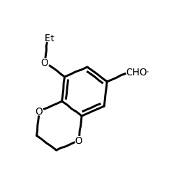 CCOc1cc([C]=O)cc2c1OCCO2